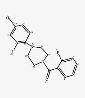 O=C(c1ccccc1F)N1CCN(c2ccc(Cl)cc2F)CC1